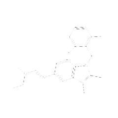 CCN(C)C=Nc1ccc2c(c1)c(C)c(C)n2Cc1c(F)cccc1Cl